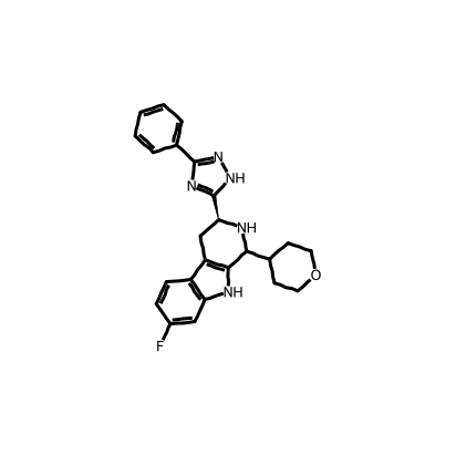 Fc1ccc2c3c([nH]c2c1)C(C1CCOCC1)N[C@H](c1nc(-c2ccccc2)n[nH]1)C3